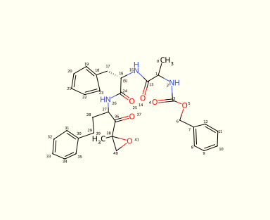 CC(NC(=O)OCc1ccccc1)C(=O)N[C@@H](Cc1ccccc1)C(=O)NC(CCc1ccccc1)C(=O)C1(C)CO1